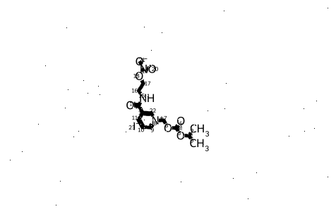 CC(C)OC(=O)OC[n+]1cccc(C(=O)NCCO[N+](=O)[O-])c1.[I-]